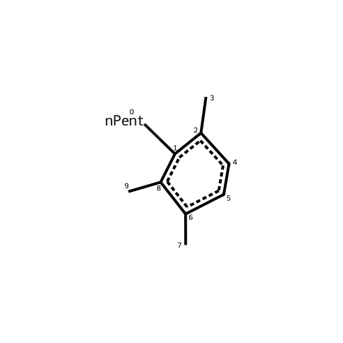 [CH2]CCCCc1c(C)ccc(C)c1C